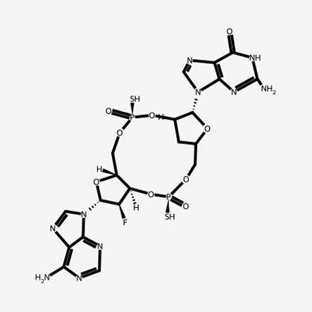 Nc1nc2c(ncn2[C@@H]2OC3CO[P@@](=O)(S)O[C@H]4[C@@H](F)[C@H](n5cnc6c(N)ncnc65)O[C@@H]4CO[P@@](=O)(S)O[C@@H]2C3)c(=O)[nH]1